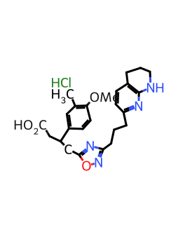 COc1ccc(C(CC(=O)O)Cc2nc(CCCc3ccc4c(n3)NCCC4)no2)cc1C.Cl